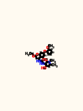 CCOC(=O)C[C@H](NC(=O)Nc1c(O)cc(C)n(C)c1=O)c1ccc(Oc2ccccc2OC)cc1